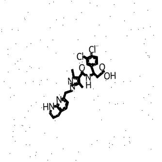 Cc1nn(CCc2ccc3c(n2)NCCC3)c(C)c1C(=O)NC(CC(=O)O)c1ccc(Cl)c(Cl)c1